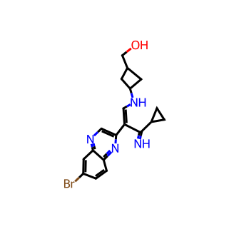 N=C(/C(=C\NC1CC(CO)C1)c1cnc2cc(Br)ccc2n1)C1CC1